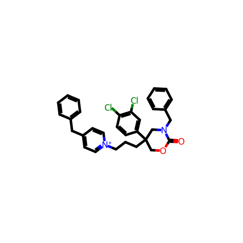 O=C1OCC(CCC[n+]2ccc(Cc3ccccc3)cc2)(c2ccc(Cl)c(Cl)c2)CN1Cc1ccccc1